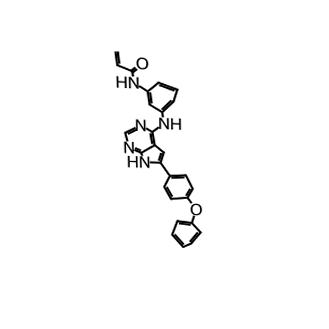 C=CC(=O)Nc1cccc(Nc2ncnc3[nH]c(-c4ccc(Oc5ccccc5)cc4)cc23)c1